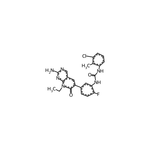 CCn1c(=O)c(-c2ccc(F)c(NC(=O)Nc3cccc(Cl)c3C)c2)cc2cnc(N)nc21